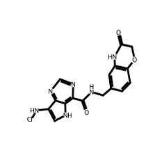 O=C1COc2ccc(CNC(=O)c3ncnc4c(NCl)c[nH]c34)cc2N1